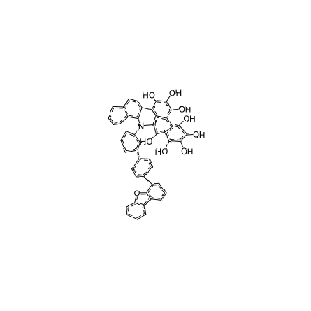 Oc1c(O)c(O)c2c(c1O)c(O)c1c3c(c(O)c(O)c(O)c32)-c2ccc3ccccc3c2N1c1cccc(-c2ccc(-c3cccc4c3oc3ccccc34)cc2)c1